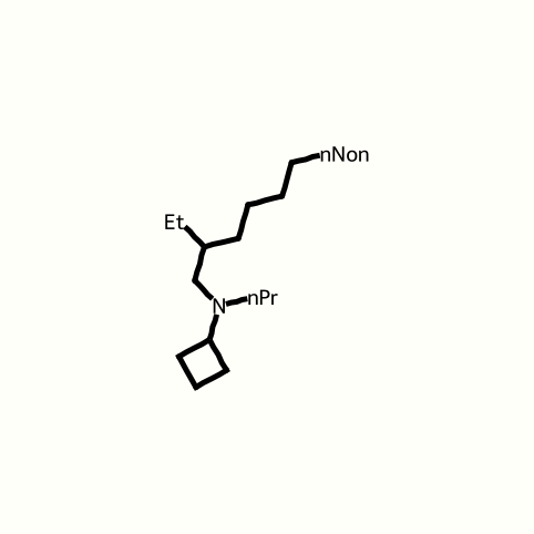 CCCCCCCCCCCCCC(CC)CN(CCC)C1CCC1